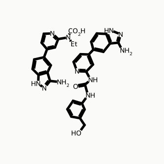 CCN(C(=O)O)c1cc(-c2ccc3[nH]nc(N)c3c2)ccn1.Nc1n[nH]c2ccc(-c3ccnc(NC(=O)Nc4cccc(CO)c4)c3)cc12